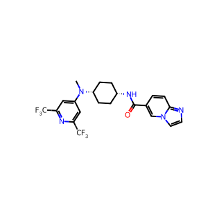 CN(c1cc(C(F)(F)F)nc(C(F)(F)F)c1)[C@H]1CC[C@@H](NC(=O)c2ccc3nccn3c2)CC1